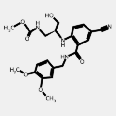 COC(=O)NC[C@@H](CO)Nc1ccc(C#N)cc1C(=O)NCc1ccc(OC)c(OC)c1